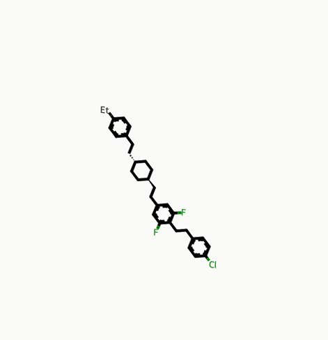 CCc1ccc(CC[C@H]2CC[C@H](CCc3cc(F)c(CCc4ccc(Cl)cc4)c(F)c3)CC2)cc1